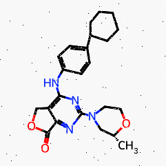 C[C@@H]1CN(c2nc(Nc3ccc(C4CCCCC4)cc3)c3c(n2)C(=O)OC3)CCO1